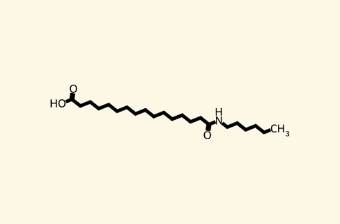 CCCCCCNC(=O)CCCCCCCCCCCCCCC(=O)O